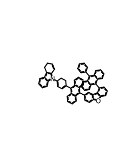 C1=Cc2c(c3ccccc3n2C2=CC=C(c3c4ccccc4c(-c4ccc5oc6cccc(-c7c8ccccc8c(-c8ccccc8)c8ccccc78)c6c5c4)c4ccccc34)CC2)CC1